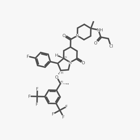 C[C@@H](O[C@H]1CN2C(=O)CC(C(=O)N3CCC(C)(NC(=O)CCl)CC3)C[C@H]2C1c1ccc(F)cc1)c1cc(C(F)(F)F)cc(C(F)(F)F)c1